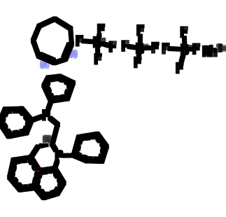 C1=C\CCCC\C=C/1.F[B-](F)(F)F.F[B-](F)(F)F.F[B-](F)(F)F.[Rh+3].c1ccc(C[C@H](CP(c2ccccc2)c2ccccc2)P(c2ccccc2)c2ccccc2)cc1